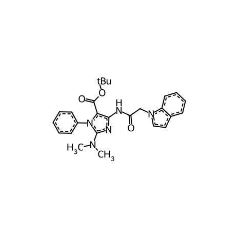 CN(C)c1nc(NC(=O)Cn2ccc3ccccc32)c(C(=O)OC(C)(C)C)n1-c1ccccc1